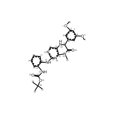 COc1cc(OC)cc(C2Nc3cnc(Nc4ccccc4NC(=O)OC(C)(C)C)nc3N(C)C2=O)c1